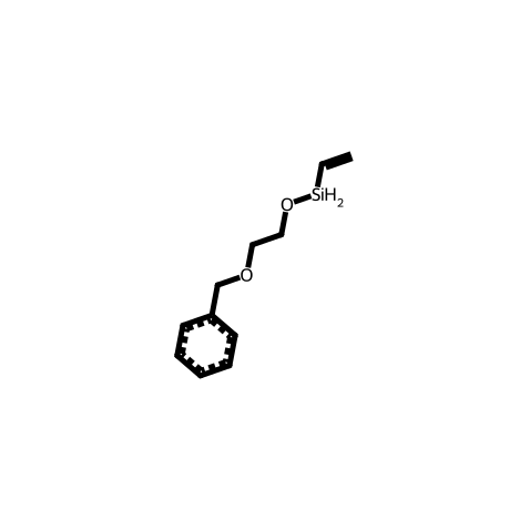 C=C[SiH2]OCCOCc1ccccc1